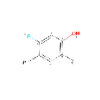 Cc1cc(C(C)C)c(F)cc1O